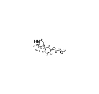 CC[C@@H]1[C@@H](C)NCC[C@H]1c1cccc(OCCOC)c1